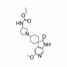 CCOC(=O)NC1CCN(C2CCC3(CC2)C(=O)Nc2cnc(OC)cc23)C1